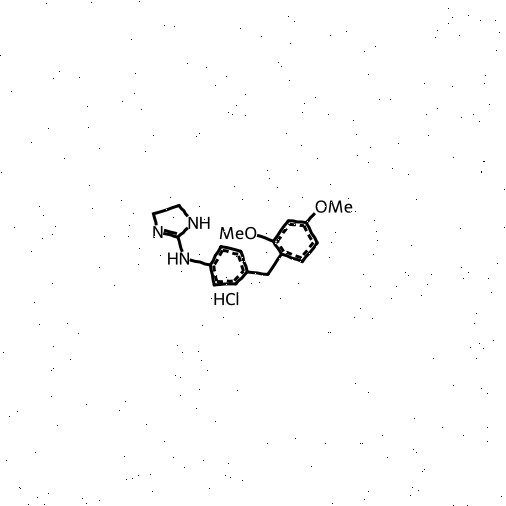 COc1ccc(Cc2ccc(NC3=NCCN3)cc2)c(OC)c1.Cl